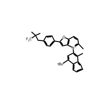 Cc1c(-[n+]2c(C)ccc3oc(-c4ccc(CC(C)(C)C(F)(F)F)cc4)cc32)cc(C(C)(C)C)c2ccccc12